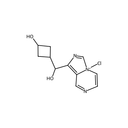 OC1CC(C(O)C2=C3C=NC=C[N+]3(Cl)C=N2)C1